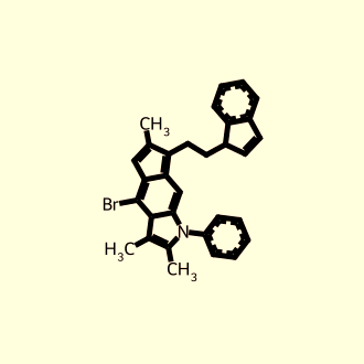 CC1=CC2=C(Br)C3C(=CC2=C1CCC1C=Cc2ccccc21)N(c1ccccc1)C(C)=C3C